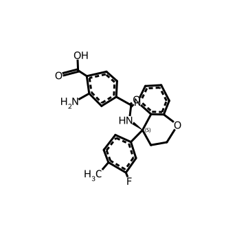 Cc1ccc([C@@]2(NC(=O)c3ccc(C(=O)O)c(N)c3)CCOc3cccnc32)cc1F